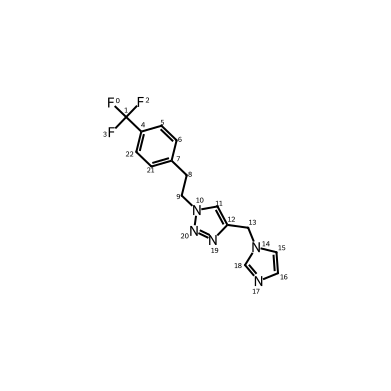 FC(F)(F)c1ccc(CCn2cc(Cn3ccnc3)nn2)cc1